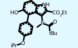 CCOC(=O)c1[nH]c2ccc(O)c(-c3ccc(OC(C)C)cc3)c2c1N(C)C(=O)C(C)(C)C